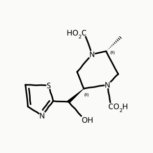 C[C@@H]1CN(C(=O)O)[C@@H](C(O)c2nccs2)CN1C(=O)O